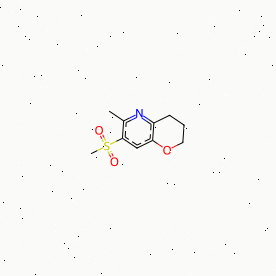 Cc1nc2c(cc1S(C)(=O)=O)OCCC2